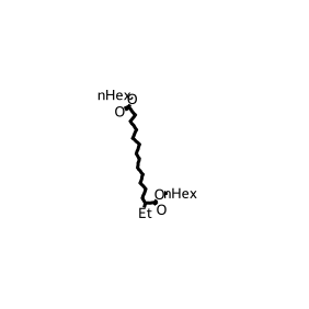 CCCCCCOC(=O)CCCCCCCCCCCCC(CC)C(=O)OCCCCCC